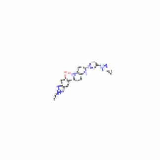 Cn1cc2cc(-c3ccc4nc(N5CC[C@@H](NCC6CC6)C5)ccc4n3)c(O)cc2n1